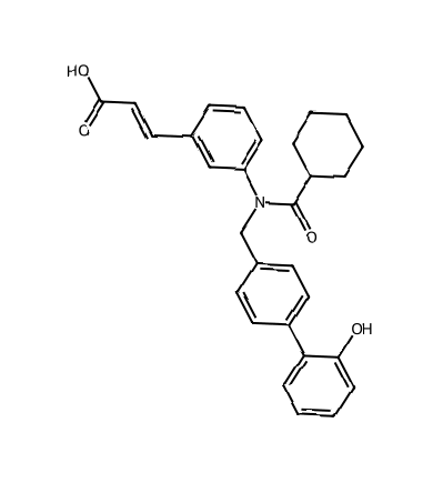 O=C(O)/C=C/c1cccc(N(Cc2ccc(-c3ccccc3O)cc2)C(=O)C2CCCCC2)c1